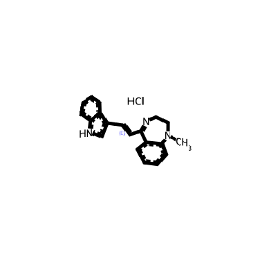 CN1CCN=C(/C=C/c2c[nH]c3ccccc23)c2ccccc21.Cl